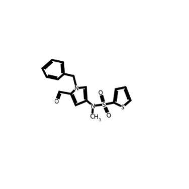 CN(c1cc(C=O)n(Cc2ccccc2)c1)S(=O)(=O)c1cccs1